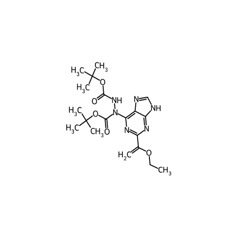 C=C(OCC)c1nc(N(NC(=O)OC(C)(C)C)C(=O)OC(C)(C)C)c2nc[nH]c2n1